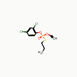 C#COP(=O)(Oc1ccc(Cl)cc1Cl)SCCC